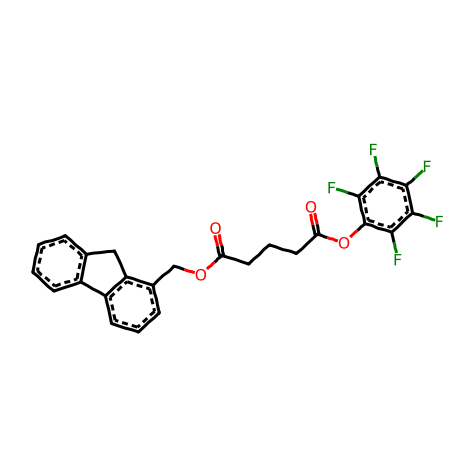 O=C(CCCC(=O)Oc1c(F)c(F)c(F)c(F)c1F)OCc1cccc2c1Cc1ccccc1-2